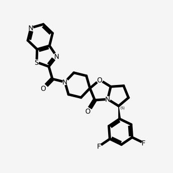 O=C(c1nc2ccncc2s1)N1CCC2(CC1)OC1CC[C@@H](c3cc(F)cc(F)c3)N1C2=O